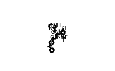 CC(c1ccccc1)N1CCN(C(=O)CN2C=C(NC(=O)C3=C4N=CC=CN4NC3)C(c3cc(Cl)ccc3OC(F)F)N2)CC1